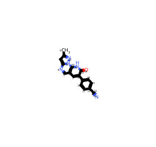 Cc1cc2ncc3cc(-c4ccc(C#N)cc4)c(=O)[nH]c3n2n1